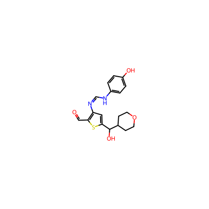 O=Cc1sc(C(O)C2CCOCC2)cc1/N=C\Nc1ccc(O)cc1